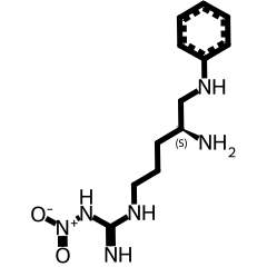 N=C(NCCC[C@H](N)CNc1ccccc1)N[N+](=O)[O-]